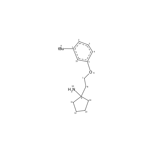 CC(C)(C)c1cccc(OCCC2(N)CCCC2)c1